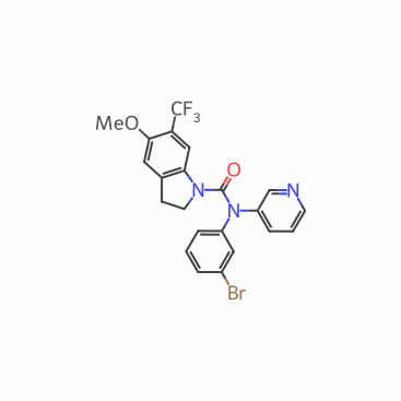 COc1cc2c(cc1C(F)(F)F)N(C(=O)N(c1cccnc1)c1cccc(Br)c1)CC2